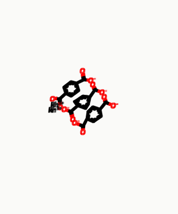 O=C([O-])c1ccc(C(=O)[O-])cc1.O=C([O-])c1ccc(C(=O)[O-])cc1.O=C([O-])c1ccc(C(=O)[O-])cc1.[Rh+3].[Rh+3]